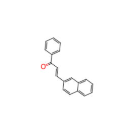 O=C(C=Cc1ccc2ccccc2c1)c1ccccc1